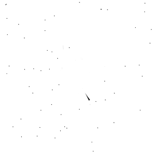 O[C@H]1CO[C@H]2CCOC21